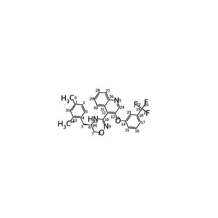 Cc1ccc(C[C@@H]2CON=C(c3c(Oc4cccc(C(F)(F)F)c4)cnc4ccccc34)N2)c(C)c1